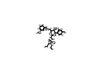 CCCN(CCC)S(=O)(=O)CCC(=O)OC(CNCc1cccc(OC)c1)C(N)Cc1ccc(C)cc1